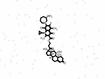 Cc1c(F)c(N2CCCC[C@@H](N)C2)c(Cl)c2c1c(=O)c(C(=O)OCCC(=O)[C@@]1(O)CC[C@H]3[C@@H]4CCC5=CC(=O)CC[C@]5(C)C4[C@@H](O)C[C@@]31C)c(C)n2C1CC1